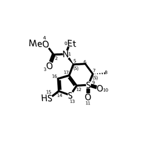 CCN(C(=O)OC)[C@H]1C[C@H](C)S(=O)(=O)c2sc(S)cc21